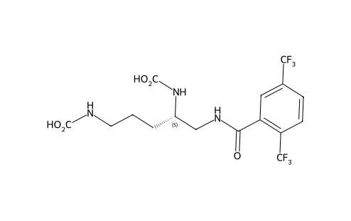 O=C(O)NCCC[C@@H](CNC(=O)c1cc(C(F)(F)F)ccc1C(F)(F)F)NC(=O)O